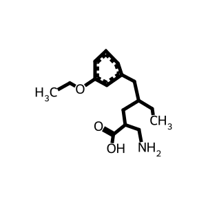 CCOc1cccc(CC(CC)CC(CN)C(=O)O)c1